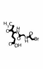 CCC(=O)C(CCC(=O)O)NC(=O)CNC(=O)CBr